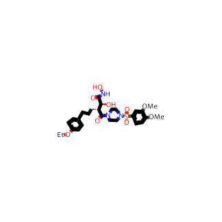 CCOc1ccc(CCC[C@@H](C(=O)N2CCN(S(=O)(=O)c3ccc(OC)c(OC)c3)CC2)[C@H](O)C(=O)NO)cc1